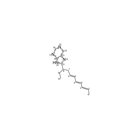 CC=CC=CC=CCC(CC)c1nc2cncnc2[nH]1